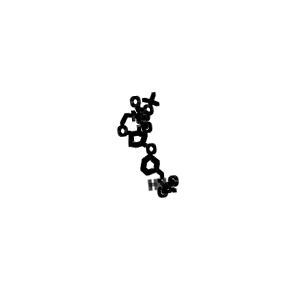 CC(C)(C)OC(=O)N1CCOc2ccc(Oc3cccc(CNS(C)(=O)=O)c3)cc2S1(=O)=O